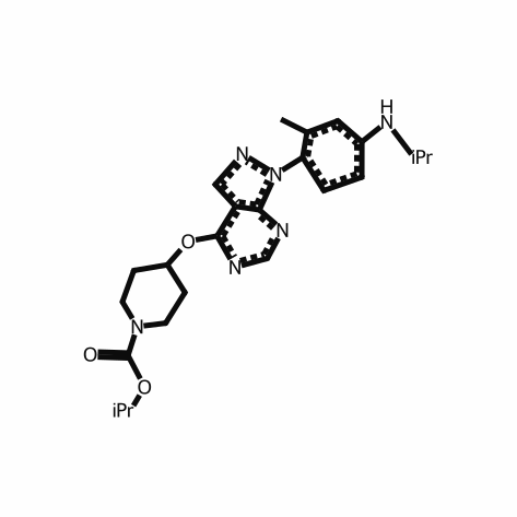 Cc1cc(NC(C)C)ccc1-n1ncc2c(OC3CCN(C(=O)OC(C)C)CC3)ncnc21